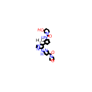 Cc1c(NC(=O)N2CCCC(O)C2)cccc1-c1cc(Nc2ccc(C(=O)N3CCOCC3)cn2)c2nccn2c1